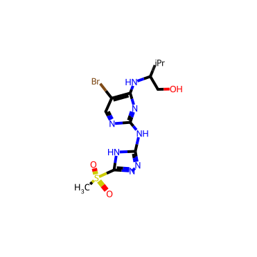 CC(C)C(CO)Nc1nc(Nc2nnc(S(C)(=O)=O)[nH]2)ncc1Br